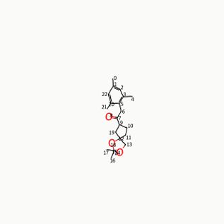 Cc1cc(C)c(CC(=O)C2CCC3(COC(C)(C)O3)C2)c(C)c1